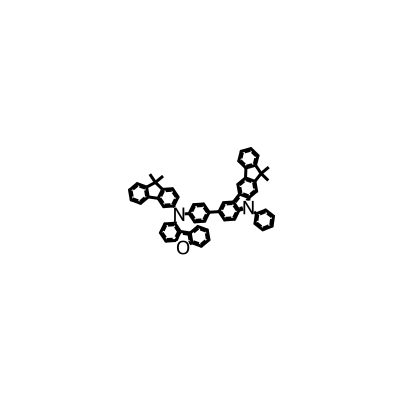 CC1(C)c2ccccc2-c2cc(N(c3ccc(-c4ccc5c(c4)c4cc6c(cc4n5-c4ccccc4)C(C)(C)c4ccccc4-6)cc3)c3cccc4oc5ccccc5c34)ccc21